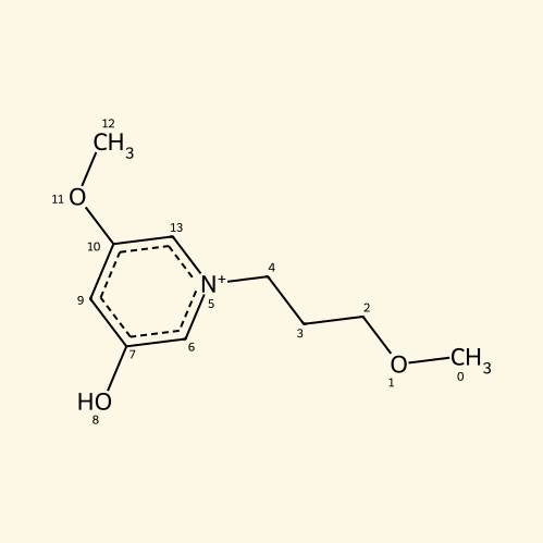 COCCC[n+]1cc(O)cc(OC)c1